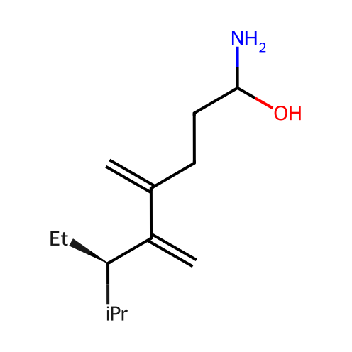 C=C(CCC(N)O)C(=C)[C@H](CC)C(C)C